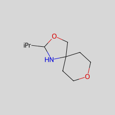 CC(C)C1NC2(CCOCC2)CO1